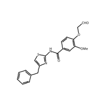 COc1cc(C(=O)Nc2nc(Cc3ccccc3)cs2)ccc1OCC=O